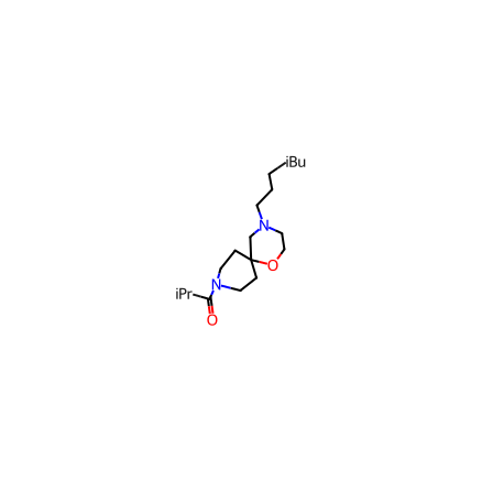 CCC(C)CCCN1CCOC2(CCN(C(=O)C(C)C)CC2)C1